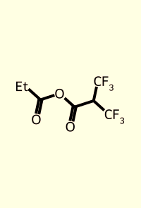 CCC(=O)OC(=O)C(C(F)(F)F)C(F)(F)F